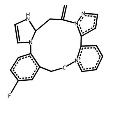 C=C1CC2NC=CN2c2ccc(F)cc2CC[n+]2ccccc2-c2ccnn21